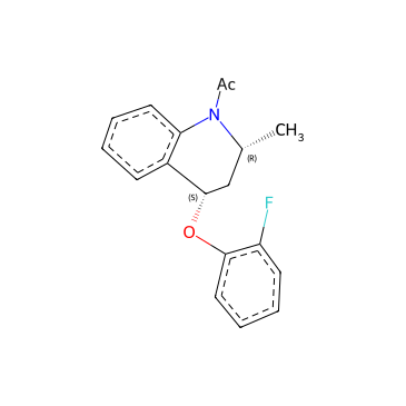 CC(=O)N1c2ccccc2[C@@H](Oc2ccccc2F)C[C@H]1C